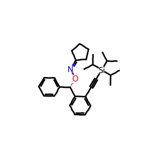 CC(C)[Si](C#Cc1ccccc1[C@@H](ON=C1CCCC1)c1ccccc1)(C(C)C)C(C)C